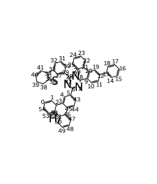 C1=CC2c3cc(-c4nc(-c5ccc(-c6ccccc6)cc5-c5ccccc5)nc(-c5cccc6c7c(sc56)CCC=C7)n4)ccc3-c3ccccc3[C@@H]2C=C1